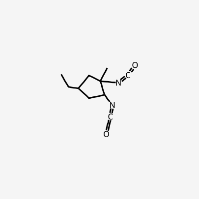 CCC1CC(N=C=O)C(C)(N=C=O)C1